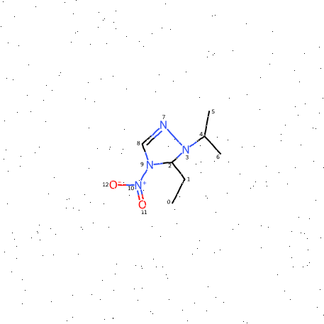 CCC1N(C(C)C)N=CN1[N+](=O)[O-]